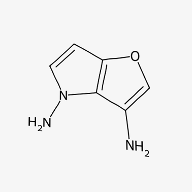 Nc1coc2ccn(N)c12